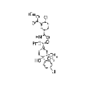 CC(C)[C@@H](NC(=O)c1ccc(Cl)c(C(=O)OC(C)(C)C)c1)C(=O)N1CC[C@](O)(c2ccc(Cl)cc2)C(C)(C)C1